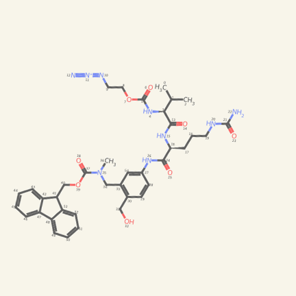 CC(C)[C@H](NC(=O)OCCN=[N+]=[N-])C(=O)N[C@@H](CCCNC(N)=O)C(=O)Nc1ccc(CO)c(CN(C)C(=O)OCC2c3ccccc3-c3ccccc32)c1